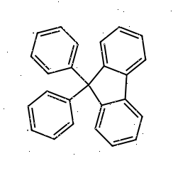 [c]1ccc(C2(c3cc[c]cc3)c3ccccc3-c3ccccc32)cc1